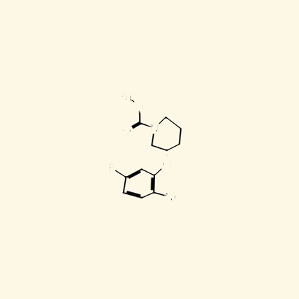 CC(C)(C)OC(=O)N1CCC[C@H](Oc2cc(F)ccc2[N+](=O)[O-])C1